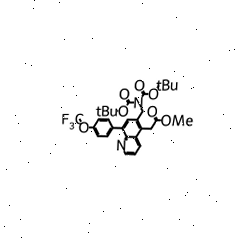 COC(=O)Cc1c(CN(C(=O)OC(C)(C)C)C(=O)OC(C)(C)C)cc(-c2ccc(OC(F)(F)F)cc2)c2ncccc12